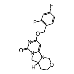 O=c1nc(OCc2ccc(F)cc2F)cc2n1C[C@H]1CCOCN21